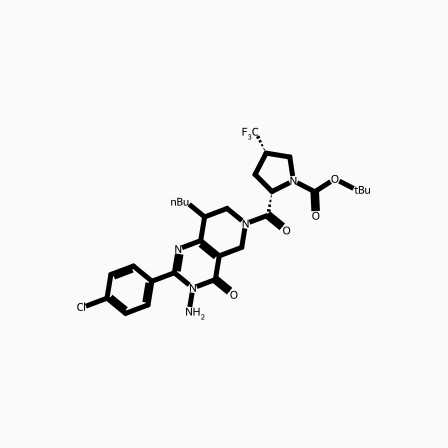 CCCCC1CN(C(=O)[C@@H]2C[C@H](C(F)(F)F)CN2C(=O)OC(C)(C)C)Cc2c1nc(-c1ccc(Cl)cc1)n(N)c2=O